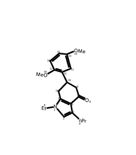 CCCc1cn(CC)c2c1C(=O)CC(c1cc(OC)ccc1OC)C2